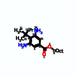 CCCCCCCCOC(=O)c1cc(N)c(C(C)(C)C(C)C)c(N)c1